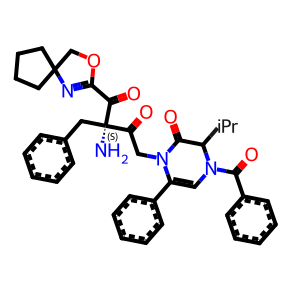 CC(C)C1C(=O)N(CC(=O)[C@@](N)(Cc2ccccc2)C(=O)C2=NC3(CCCC3)CO2)C(c2ccccc2)=CN1C(=O)c1ccccc1